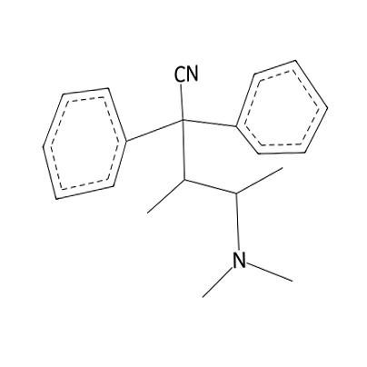 CC(C(C)C(C#N)(c1ccccc1)c1ccccc1)N(C)C